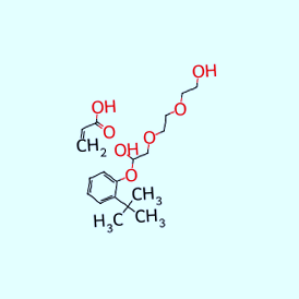 C=CC(=O)O.CC(C)(C)c1ccccc1OC(O)COCCOCCO